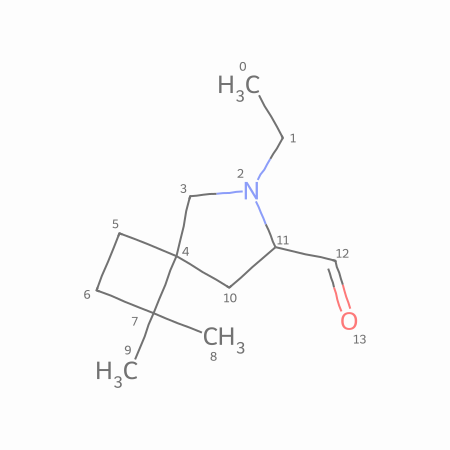 CCN1CC2(CCC2(C)C)CC1C=O